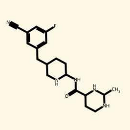 CC1NCCC(C(=O)NC2CCC(Cc3cc(F)cc(C#N)c3)CN2)N1